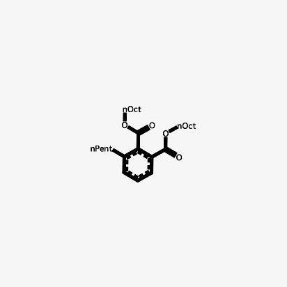 CCCCCCCCOC(=O)c1cccc(CCCCC)c1C(=O)OCCCCCCCC